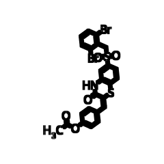 CC(=O)Oc1ccc(/C=C2/Sc3ccc(S(=O)(=O)Cc4c(Br)cccc4Br)cc3NC2=O)cc1